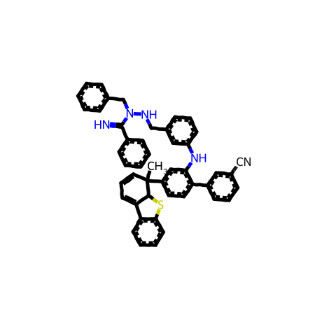 CC1(c2ccc(-c3cccc(C#N)c3)c(Nc3cccc(CNN(Cc4ccccc4)C(=N)c4ccccc4)c3)c2)C=CC=C2c3ccccc3SC21